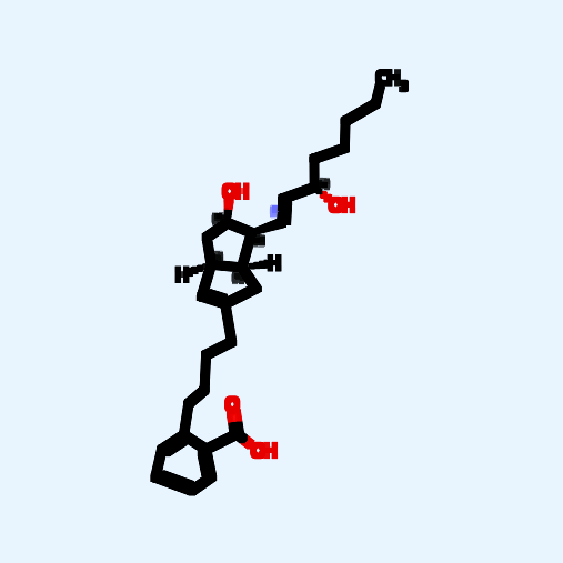 CCCCC[C@H](O)/C=C/[C@H]1[C@H]2CC(CCCCc3ccccc3C(=O)O)=C[C@H]2C[C@H]1O